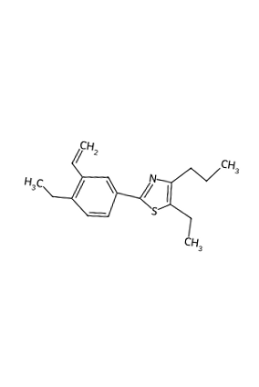 C=Cc1cc(-c2nc(CCC)c(CC)s2)ccc1CC